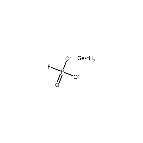 O=P([O-])([O-])F.[GeH2+2]